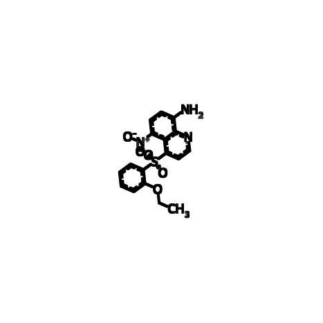 CCOc1ccccc1S(=O)(=O)c1ccnc2c(N)ccc([N+](=O)[O-])c12